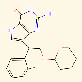 Nc1nc2c([C@@H](COC3CCCCO3)c3ccccc3F)c[nH]c2c(=O)[nH]1